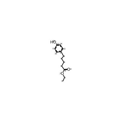 CCOC(=O)CCCCc1ccc(O)cc1